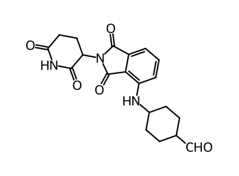 O=CC1CCC(Nc2cccc3c2C(=O)N(C2CCC(=O)NC2=O)C3=O)CC1